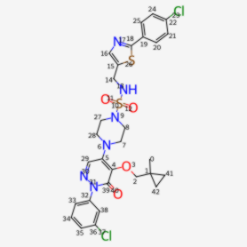 CC1(COc2c(N3CCN(S(=O)(=O)NCc4cnc(-c5ccc(Cl)cc5)s4)CC3)cnn(-c3cccc(Cl)c3)c2=O)CC1